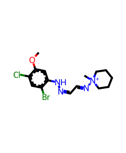 COc1cc(N/N=C\C=N\[N+]2(C)CCCCC2)c(Br)cc1Cl